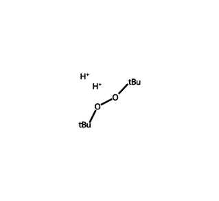 CC(C)(C)OOC(C)(C)C.[H+].[H+]